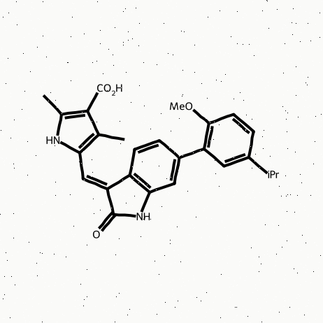 COc1ccc(C(C)C)cc1-c1ccc2c(c1)NC(=O)C2=Cc1[nH]c(C)c(C(=O)O)c1C